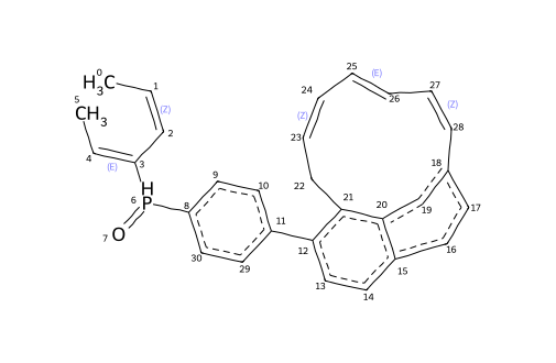 C/C=C\C(=C/C)[PH](=O)c1ccc(-c2ccc3ccc4cc3c2C\C=C/C=C/C=C\4)cc1